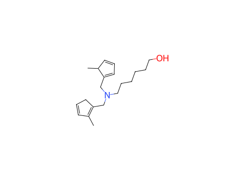 CC1=C(CN(CCCCCCO)CC2=CC=CC2C)CC=C1